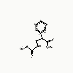 COC(=O)C(CNC(=O)OC(C)(C)C)c1ccccn1